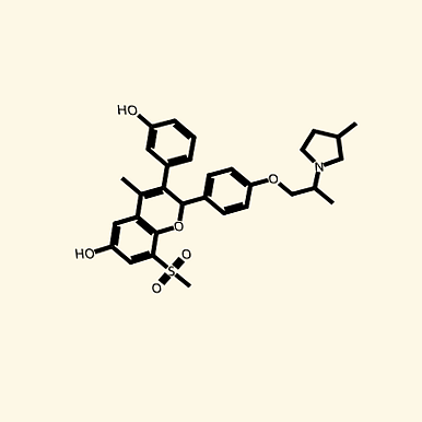 CC1=C(c2cccc(O)c2)C(c2ccc(OCC(C)N3CCC(C)C3)cc2)Oc2c1cc(O)cc2S(C)(=O)=O